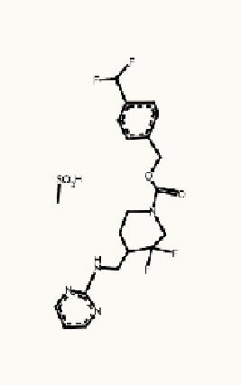 CS(=O)(=O)O.O=C(OCc1ccc(C(F)F)cc1)N1CCC(CNc2ncccn2)C(F)(F)C1